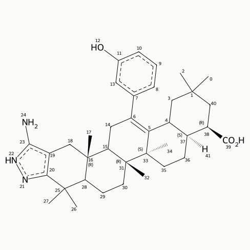 CC1(C)CC2C3=C(c4cccc(O)c4)CC4[C@@]5(C)Cc6c(n[nH]c6N)C(C)(C)C5CC[C@@]4(C)[C@]3(C)CC[C@@H]2[C@H](C(=O)O)C1